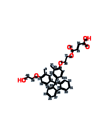 Cc1cc(C2(c3ccc(OCCOC(=O)/C=C/C(=O)O)c(C)c3)c3ccccc3-c3ccccc32)ccc1OCCO